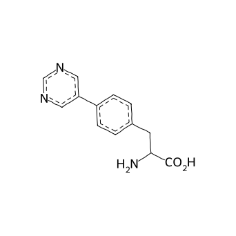 NC(Cc1ccc(-c2cncnc2)cc1)C(=O)O